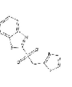 O=S(=O)(Cc1nccs1)c1nc2ccccc2s1